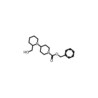 O=C(OCc1ccccc1)N1CCC(N2CCCCC2CO)CC1